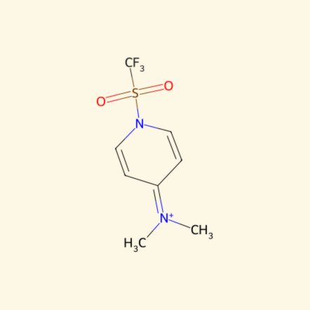 C[N+](C)=c1ccn(S(=O)(=O)C(F)(F)F)cc1